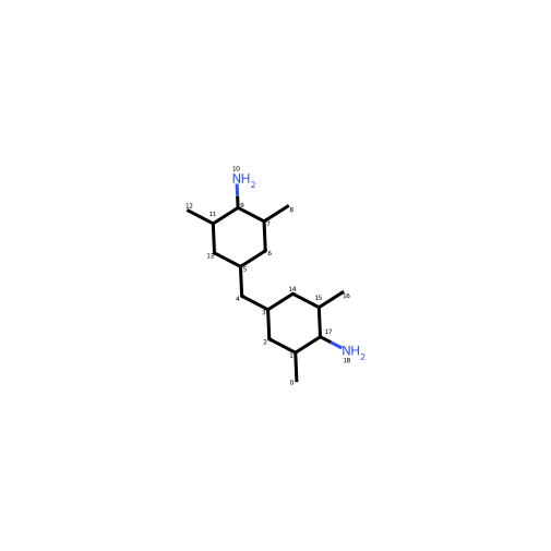 CC1CC(CC2CC(C)C(N)C(C)C2)CC(C)C1N